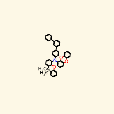 C[Si]1(C)c2ccccc2Oc2c(N(c3ccc(-c4cccc(-c5ccccc5)c4)cc3)c3cccc4c3Oc3ccccc3O4)cccc21